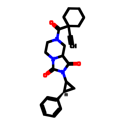 C#CC1(C(=O)N2CCN3C(=O)N(C4C[C@@H]4c4ccccc4)C(=O)C3C2)CCCCC1